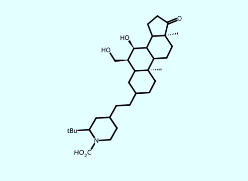 CC(C)(C)C1CC(CCC2CC[C@]3(C)C4CC[C@]5(C)C(=O)CCC5C4[C@H](O)[C@H](CO)C3C2)CCN1C(=O)O